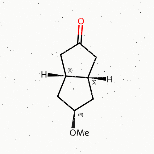 CO[C@@H]1C[C@H]2CC(=O)C[C@H]2C1